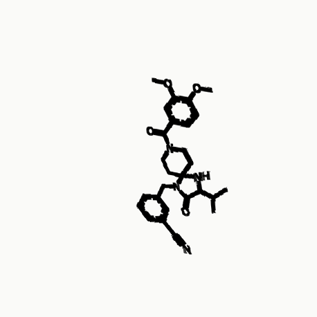 COc1ccc(C(=O)N2CCC3(CC2)NC(C(C)C)C(=O)N3Cc2cccc(C#N)c2)cc1OC